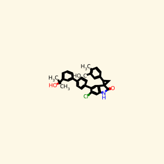 Cc1ccc(C2CC23C(=O)Nc2cc(Cl)c(-c4ccc(-c5cccc(C(C)(C)O)c5)cc4)cc23)cc1C(=O)O